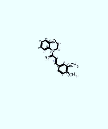 Cc1ccc(/C=C/C(=O)N2CCOc3ccccc32)cc1C